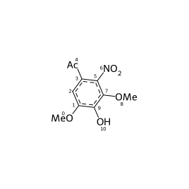 COc1cc(C(C)=O)c([N+](=O)[O-])c(OC)c1O